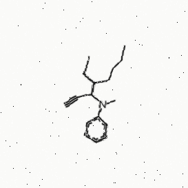 C#CC(C(CC)CCCC)N(C)c1ccccc1